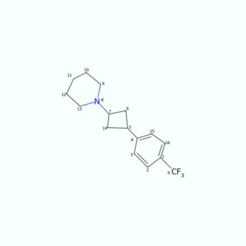 FC(F)(F)c1ccc(C2CC(N3CCCCC3)C2)cc1